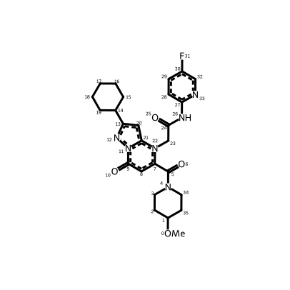 COC1CCN(C(=O)c2cc(=O)n3nc(C4CCCCC4)cc3n2CC(=O)Nc2ccc(F)cn2)CC1